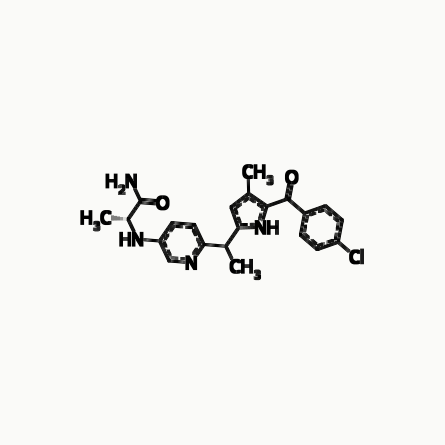 Cc1cc(C(C)c2ccc(N[C@H](C)C(N)=O)cn2)[nH]c1C(=O)c1ccc(Cl)cc1